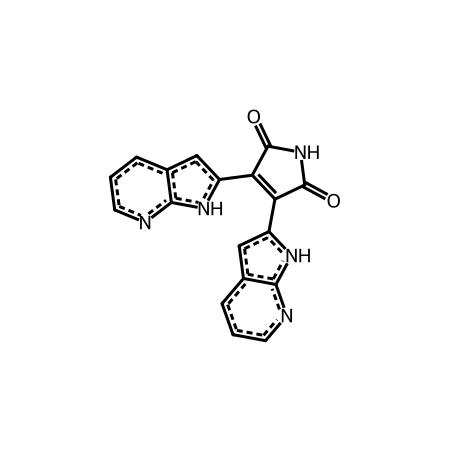 O=C1NC(=O)C(c2cc3cccnc3[nH]2)=C1c1cc2cccnc2[nH]1